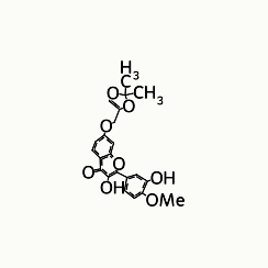 COc1ccc(-c2oc3cc(OCC4=COC(C)(C)O4)ccc3c(=O)c2O)cc1O